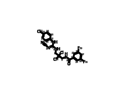 N#CN=C(NCC(Cl)(Cl)CNC(=O)c1cc(F)cc(F)c1)Nc1ccc(Cl)nc1